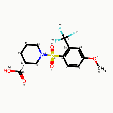 COc1ccc(S(=O)(=O)N2CCC[C@@H](C(=O)O)C2)c(C(F)(F)F)c1